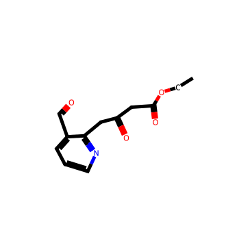 CCOC(=O)CC(=O)Cc1ncccc1C=O